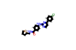 O=C(NCC1CC=CS1)c1ccc(Nc2nccc(-c3ccc(Cl)cc3)n2)cc1